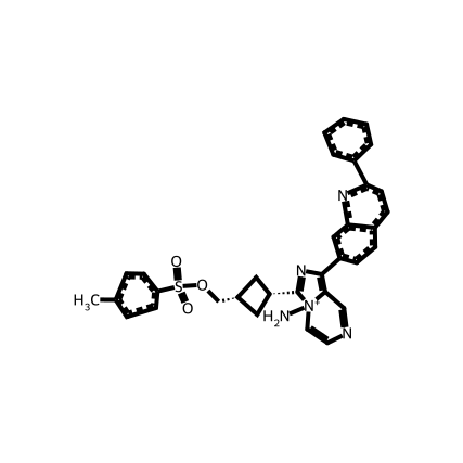 Cc1ccc(S(=O)(=O)OC[C@H]2C[C@@H](C3=NC(c4ccc5ccc(-c6ccccc6)nc5c4)=C4C=NC=C[N+]43N)C2)cc1